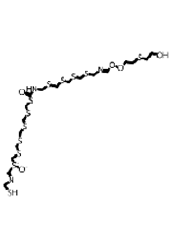 O=C(NCSCSCSCSC/N=C/OOCCSCCO)SCSCSCSCSC[S+]([O-])/C=N/CS